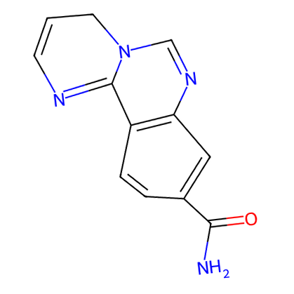 NC(=O)c1ccc2c(c1)N=CN1CC=CN=C21